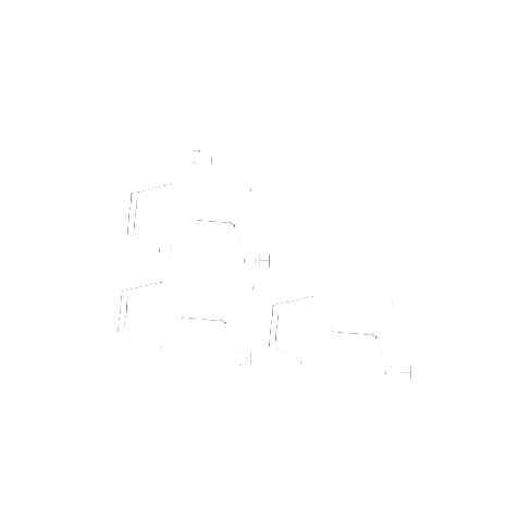 O=C(O)c1ccco1.O=C(O)c1ccco1.O=C(O)c1ccco1.[Zn]